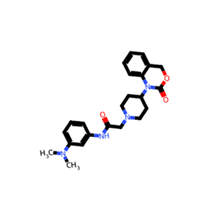 CN(C)c1cccc(NC(=O)CN2CCC(N3C(=O)OCc4ccccc43)CC2)c1